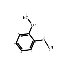 N#COc1ccccc1OC#N